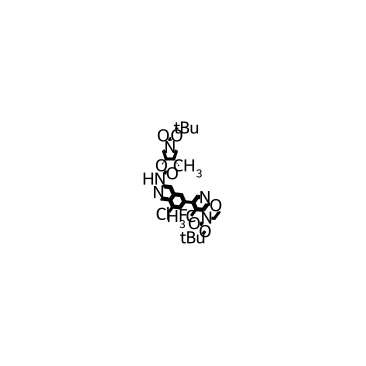 Cc1c(-c2cc3cc(NC(=O)O[C@@H]4CN(C(=O)OC(C)(C)C)C[C@@H]4C)ncc3c(Cl)c2F)cnc2c1N(C(=O)OC(C)(C)C)CCO2